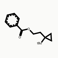 CC(C)(C)C1(CCOC(=O)c2ccccc2)[CH]C1